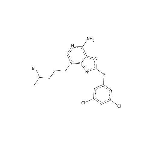 CC(Br)CCCn1cnc(N)c2nc(Sc3cc(Cl)cc(Cl)c3)nc1-2